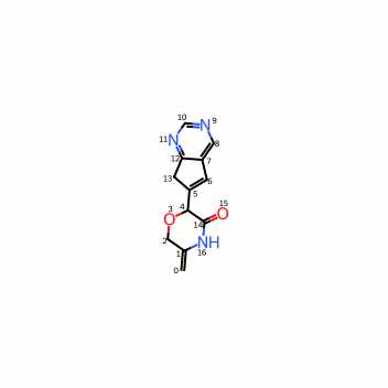 C=C1COC(C2=Cc3cncnc3C2)C(=O)N1